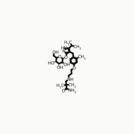 Cc1cc(OCCCNCC(C)(C)C(N)=O)ccc1Cc1c(O[C@@H]2OC(CO)[C@@H](O)[C@@H](O)C2O)n[nH]c1C(C)C